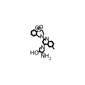 Cc1ccc2nc(N3CCS(=O)(=O)c4ccccc4C3)cc(N3C[C@@H](N)[C@@H](O)C3)c2c1